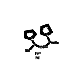 CC(C)(C)P([c-]1cccc1)C(C)(C)C.CC(C)(C)P([c-]1cccc1)C(C)(C)C.[Fe+2].[Pd]